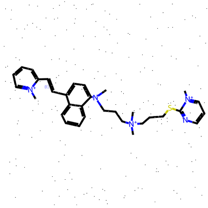 CN(CCC[N+](C)(C)CCCSc1nccc[n+]1C)c1ccc(/C=C/c2cccc[n+]2C)c2ccccc12